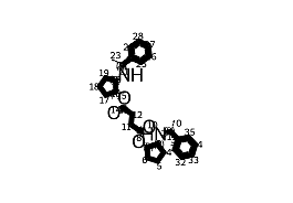 C[C@@H](N[C@@H]1CCC[C@H]1OC(=O)CCC(=O)O[C@@H]1CCC[C@H]1N[C@H](C)c1ccccc1)c1ccccc1